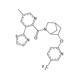 Cc1cnc(C(=O)N2CC3CC(Oc4ccc(C(F)(F)F)cn4)C2C3)c(-c2nccs2)c1